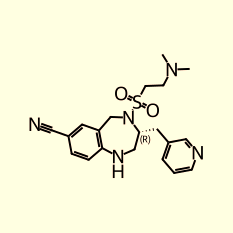 CN(C)CCS(=O)(=O)N1Cc2cc(C#N)ccc2NC[C@H]1Cc1cccnc1